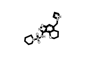 O=S(=O)(Nc1noc2cc(Cn3cccn3)c3c(c12)OCCC3)N1CCCCC1